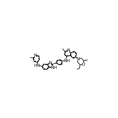 CCC1CN(c2ccc3nc(C)cc(Nc4ccc(-c5nc6cc(Nc7ccnc(C)c7)ccc6[nH]5)cc4)c3c2)CC(C)O1